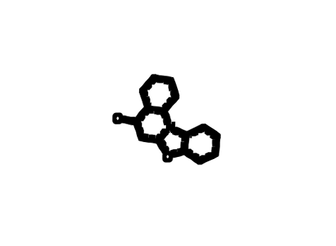 O=c1cc2oc3ccccc3n2c2ccccc12